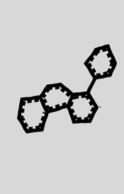 [c]1ccc2c(ccc3ccccc32)c1-c1ccccc1